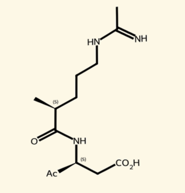 CC(=N)NCCC[C@H](C)C(=O)N[C@@H](CC(=O)O)C(C)=O